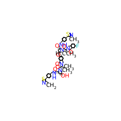 C=Cc1ncsc1-c1ccc(CNC(=O)[C@@H]2C[C@@H](O)CN2C(=O)[C@H](C(C)C)N2Cc3ccc(O[C@@H]4C[C@@H](C(=O)NCc5ccc(-c6scnc6C)cc5)N(C(=O)[C@H](C(C)C)N5Cc6ccc(F)cc6C5=O)C4)cc3C2=O)cc1